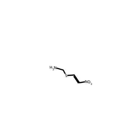 NCSC=C[N+](=O)[O-]